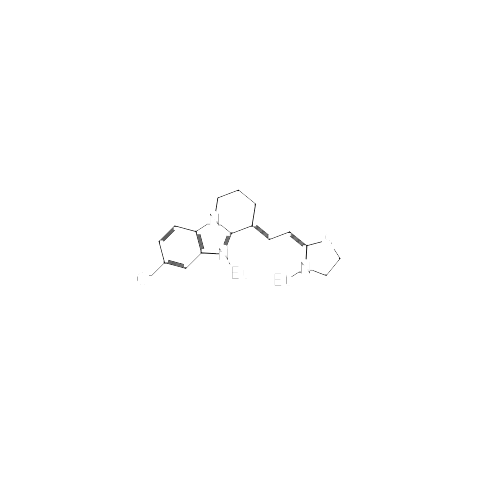 CCN1CCSC1=CC=C1CCCn2c1[n+](CC)c1cc(Cl)ccc12